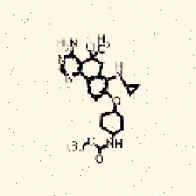 CC(C)(C)OC(=O)NC1CCC(Oc2ccc3c(c2NC2CC2)CC(C)(C)c2c(N)ncnc2-3)CC1